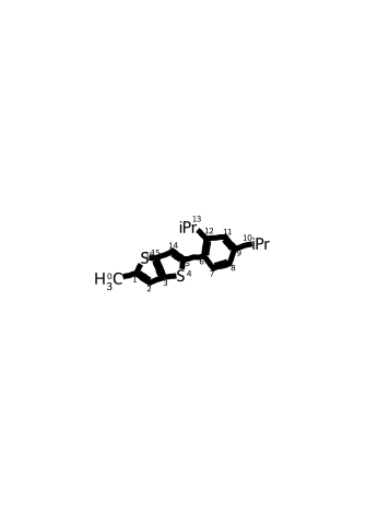 Cc1cc2sc(-c3ccc(C(C)C)cc3C(C)C)cc2s1